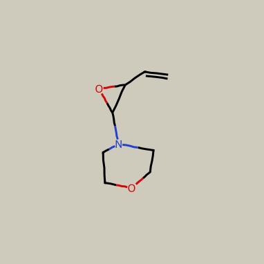 C=CC1OC1N1CCOCC1